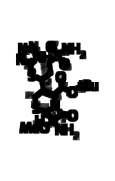 CO[C@@]1(N)C(=O)N2C(C(=O)OC(C)(C)C)=C(C(CCS(N)(=O)=O)Sc3nnn[nH]3)CS[C@H]21